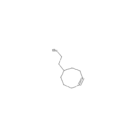 CC(C)(C)CCC1CCC#CCCC1